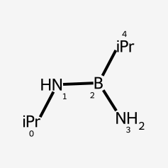 CC(C)NB(N)C(C)C